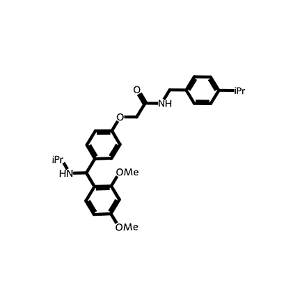 COc1ccc(C(NC(C)C)c2ccc(OCC(=O)NCc3ccc(C(C)C)cc3)cc2)c(OC)c1